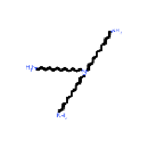 NCCCCCCCCCCCCN(CCCCCCCCCCCCN)CCCCCCCCCCCCN